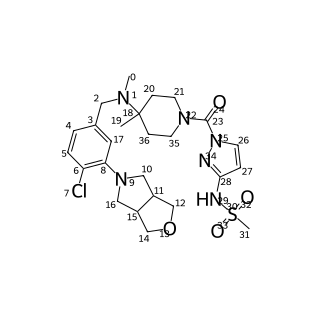 CN(Cc1ccc(Cl)c(N2CC3COCC3C2)c1)C1(C)CCN(C(=O)n2ccc(NS(C)(=O)=O)n2)CC1